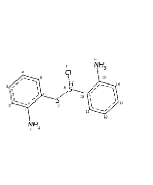 Nc1ccccc1S[SH](Cl)c1ccccc1N